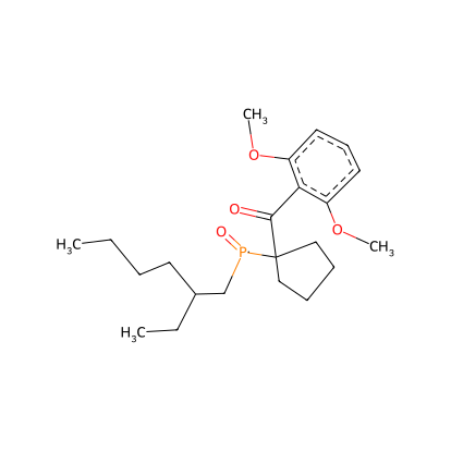 CCCCC(CC)C[P](=O)C1(C(=O)c2c(OC)cccc2OC)CCCC1